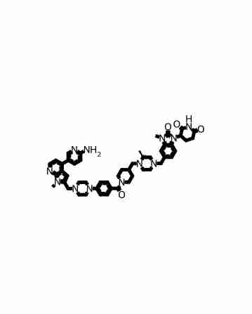 C[C@H]1CN(Cc2ccc3c(c2)n(C)c(=O)n3C2CCC(=O)NC2=O)CCN1CC1CCN(C(=O)c2ccc(N3CCN(Cc4cc5c(-c6ccc(N)nc6)ccnc5n4C)CC3)cc2)CC1